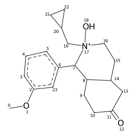 COc1cccc(C2C3CCC(=O)CC3CC[N+]2(O)CC2CC2)c1